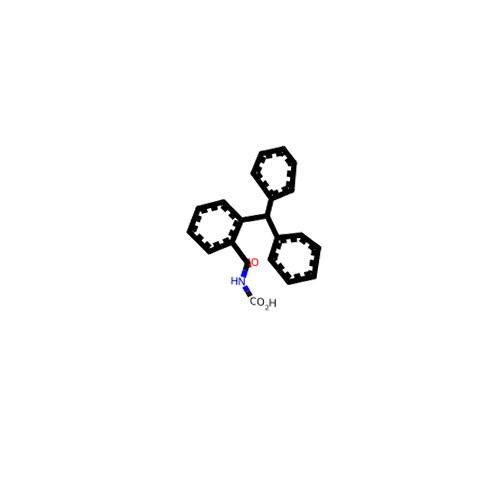 O=C(O)NC(=O)c1ccccc1C(c1ccccc1)c1ccccc1